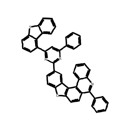 c1ccc(-c2cc(-c3cccc4sc5ccccc5c34)nc(-c3ccc4oc5ccc6c(-c7ccccc7)nc7ccccc7c6c5c4c3)n2)cc1